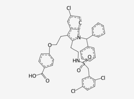 O=C(O)c1ccc(OCCc2c(CCNS(=O)(=O)Cc3cc(Cl)ccc3Cl)n(C(c3ccccc3)c3ccccc3)c3ccc(Cl)cc23)cc1